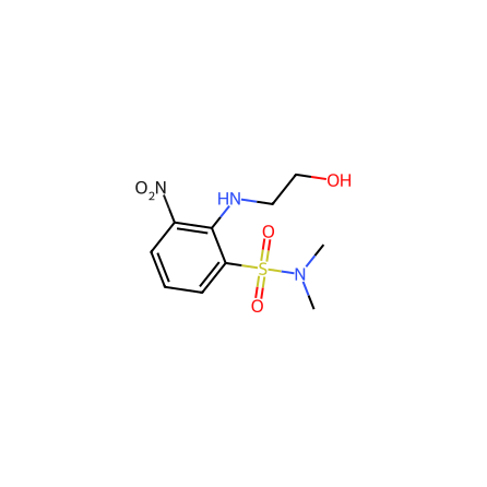 CN(C)S(=O)(=O)c1cccc([N+](=O)[O-])c1NCCO